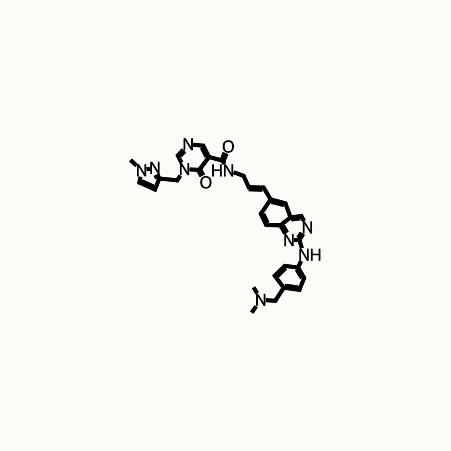 CN(C)Cc1ccc(Nc2ncc3cc(/C=C/CNC(=O)c4cncn(Cc5ccn(C)n5)c4=O)ccc3n2)cc1